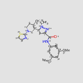 COc1cc(NC(=O)c2cc(C3=C(C)CCN(c4nccs4)C3)n(C)n2)cc(OC)c1